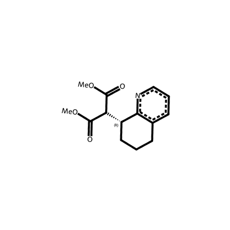 COC(=O)C(C(=O)OC)[C@H]1CCCc2cccnc21